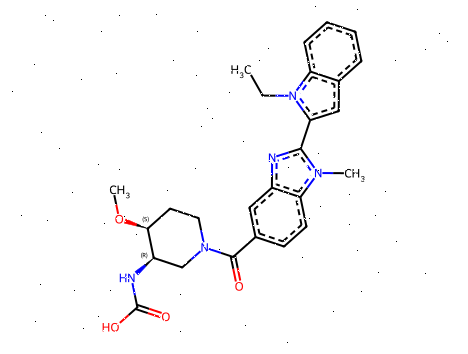 CCn1c(-c2nc3cc(C(=O)N4CC[C@H](OC)[C@H](NC(=O)O)C4)ccc3n2C)cc2ccccc21